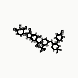 CC1(C)CCC(CN2CCN(C(=O)c3cc4c(cc3F)C(=O)N(C3CCC(=O)NC3=O)C4)C(C(F)(F)F)C2)=C(c2ccc(Cl)cc2)C1